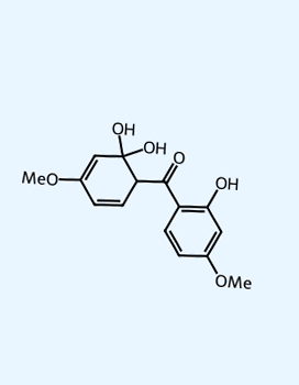 COC1=CC(O)(O)C(C(=O)c2ccc(OC)cc2O)C=C1